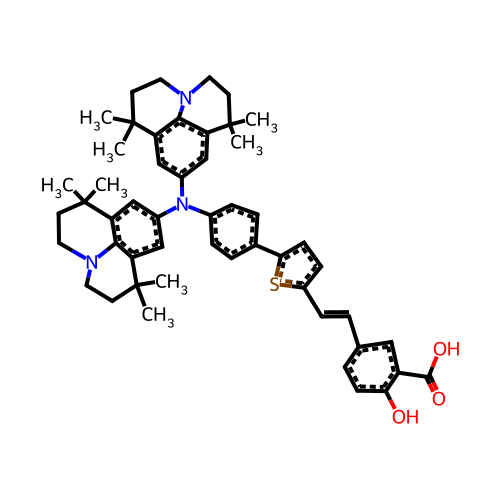 CC1(C)CCN2CCC(C)(C)c3cc(N(c4ccc(-c5ccc(/C=C/c6ccc(O)c(C(=O)O)c6)s5)cc4)c4cc5c6c(c4)C(C)(C)CCN6CCC5(C)C)cc1c32